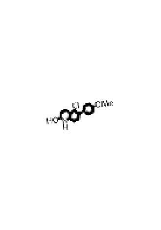 COc1ccc(-c2ccc3c(c2Cl)C=CC(O)N3)cc1